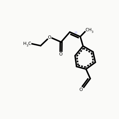 CCOC(=O)/C=C(/C)c1ccc(C=O)cc1